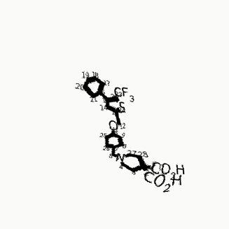 O=C(O)C1(C(=O)O)CCN(Cc2ccc(OCc3cc(-c4ccccc4)c(C(F)(F)F)s3)cc2)CC1